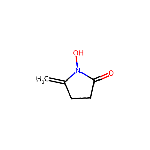 C=C1CCC(=O)N1O